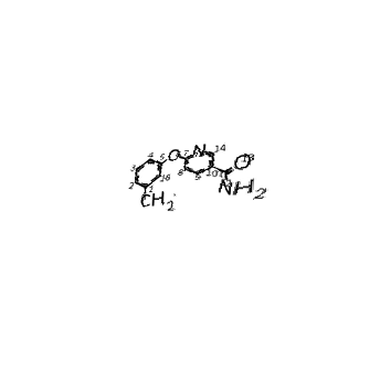 [CH2]c1cccc(Oc2ccc(C(N)=O)cn2)c1